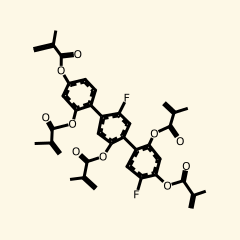 C=C(C)C(=O)Oc1ccc(-c2cc(OC(=O)C(=C)C)c(-c3cc(F)c(OC(=O)C(=C)C)cc3OC(=O)C(=C)C)cc2F)c(OC(=O)C(=C)C)c1